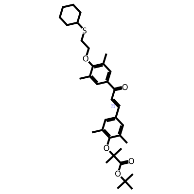 Cc1cc(C(=O)/C=C/c2cc(C)c(OC(C)(C)C(=O)OC(C)(C)C)c(C)c2)cc(C)c1OCCSC1CCCCC1